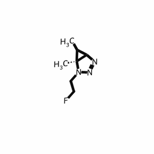 CC1C2N=NN(CCF)[C@@]12C